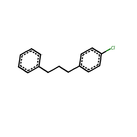 Clc1ccc(CCCc2[c]cccc2)cc1